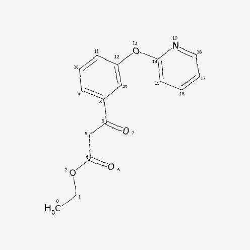 CCOC(=O)CC(=O)c1cccc(Oc2ccccn2)c1